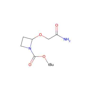 CC(C)(C)OC(=O)N1CCC1OCC(N)=O